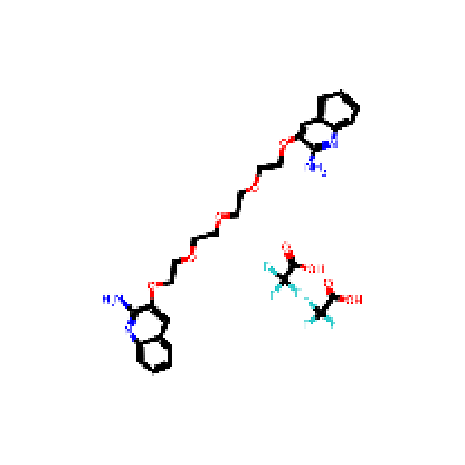 Nc1nc2ccccc2cc1OCCOCCOCCOCCOc1cc2ccccc2nc1N.O=C(O)C(F)(F)F.O=C(O)C(F)(F)F